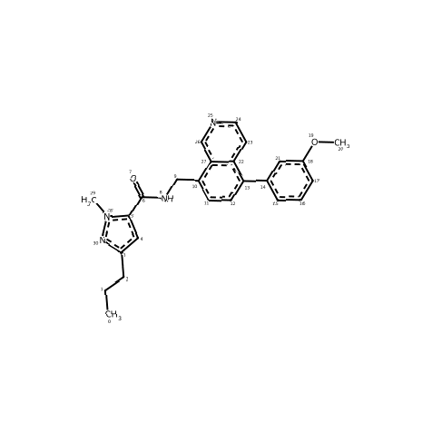 CCCc1cc(C(=O)NCc2ccc(-c3cccc(OC)c3)c3ccncc23)n(C)n1